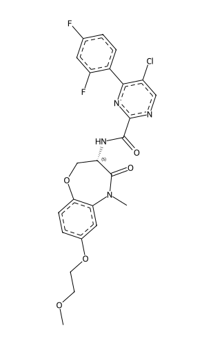 COCCOc1ccc2c(c1)N(C)C(=O)[C@@H](NC(=O)c1ncc(Cl)c(-c3ccc(F)cc3F)n1)CO2